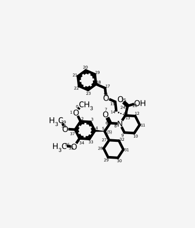 COc1cc([C@@H](C(=O)N2CCCC[C@]2(CCOCc2ccccc2)C(=O)O)C2CCCCC2)cc(OC)c1OC